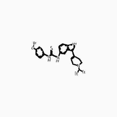 CCC(CC)N1CC=C(c2c[nH]c3ccc(NC(=S)Nc4ccc(OC(C)C)cc4)cc23)CC1